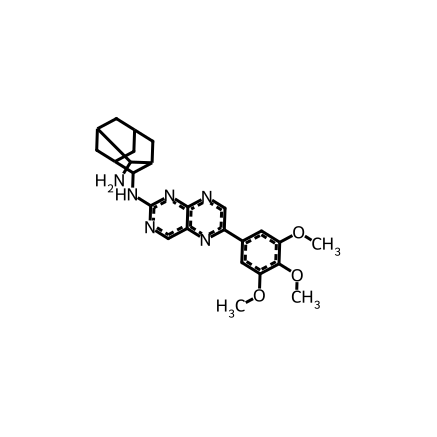 COc1cc(-c2cnc3nc(NC4C5CC6CC(C5)C(N)C4C6)ncc3n2)cc(OC)c1OC